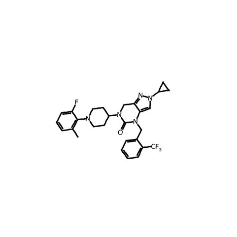 Cc1cccc(F)c1N1CCC(N2Cc3nn(C4CC4)cc3N(Cc3ccccc3C(F)(F)F)C2=O)CC1